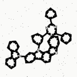 c1ccc(-c2nc(-c3ccccc3)nc(-c3cccc(-n4c5cc(-n6c7ccccc7c7ccccc76)ccc5c5ccc6oc7ccccc7c6c54)c3)n2)cc1